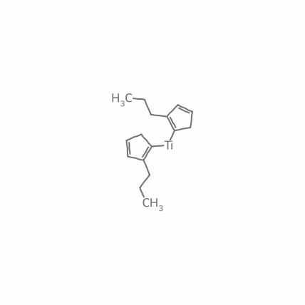 CCCC1=[C]([Ti][C]2=C(CCC)C=CC2)CC=C1